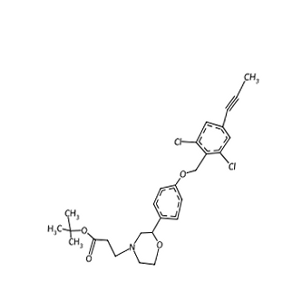 CC#Cc1cc(Cl)c(COc2ccc(C3CN(CCC(=O)OC(C)(C)C)CCO3)cc2)c(Cl)c1